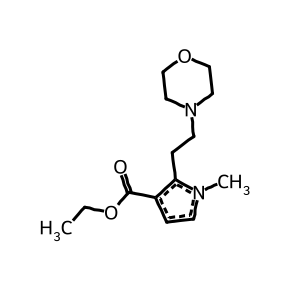 CCOC(=O)c1ccn(C)c1CCN1CCOCC1